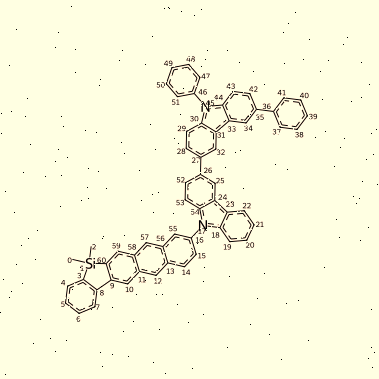 C[Si]1(C)c2ccccc2-c2cc3cc4ccc(-n5c6ccccc6c6cc(-c7ccc8c(c7)c7cc(-c9ccccc9)ccc7n8-c7ccccc7)ccc65)cc4cc3cc21